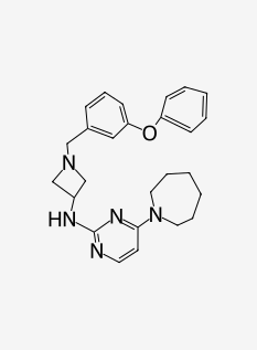 c1ccc(Oc2cccc(CN3CC(Nc4nccc(N5CCCCCC5)n4)C3)c2)cc1